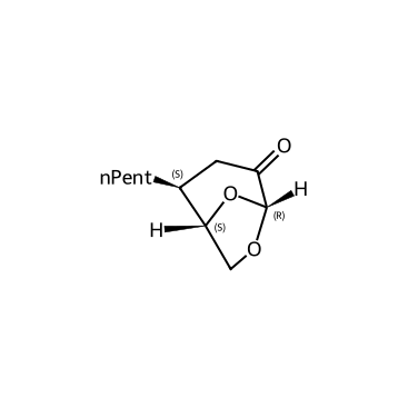 CCCCC[C@H]1CC(=O)[C@@H]2OC[C@H]1O2